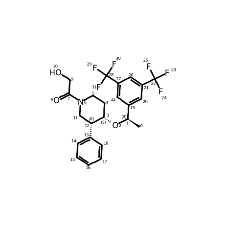 C[C@@H](O[C@H]1CCN(C(=O)CO)C[C@H]1c1ccccc1)c1cc(C(F)(F)F)cc(C(F)(F)F)c1